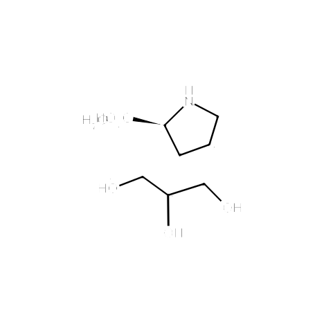 O.O=C(O)[C@@H]1CCCN1.OCC(O)CO